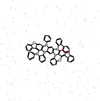 c1ccc(-c2ccccc2N2c3cc4c(cc3B3c5ccccc5Oc5c3c2cc2oc3ccccc3c52)B2c3ccccc3N(c3ccccc3)c3c2c(cc2oc5ccccc5c32)N4c2ccccc2)cc1